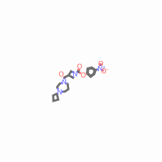 O=C(Oc1ccc([N+](=O)[O-])cc1)N1CC(C(=O)N2CCCN(C3CCC3)CC2)C1